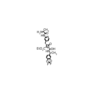 CCOC(=O)[C@@H]1[C@@H](Cc2ccnc(NC(=O)[C@H](C)N)c2)C(=O)N1C(O)N[C@H](C)c1ccc2c(c1)OC(F)(F)O2